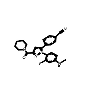 CN(C)c1ccc(-n2nc(C(=O)N3CCCCC3)cc2-c2ccc(C#N)cc2)c(F)c1